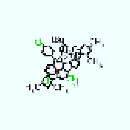 CCCC1C=C(C(C)(C)C)C=[C]1[Zr+2](=[C](c1ccc(Cl)cc1)c1ccc(Cl)cc1)[CH]1c2cc(-c3c(C)cc(C)cc3C)ccc2-c2ccc(-c3c(C)cc(C)cc3C)cc21.[Cl-].[Cl-]